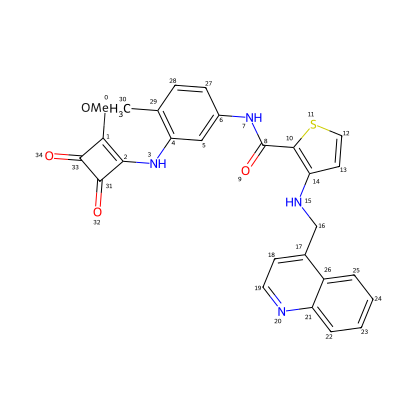 COc1c(Nc2cc(NC(=O)c3sccc3NCc3ccnc4ccccc34)ccc2C)c(=O)c1=O